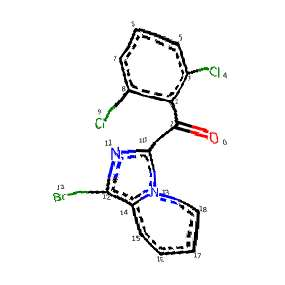 O=C(c1c(Cl)cccc1Cl)c1nc(Br)c2ccccn12